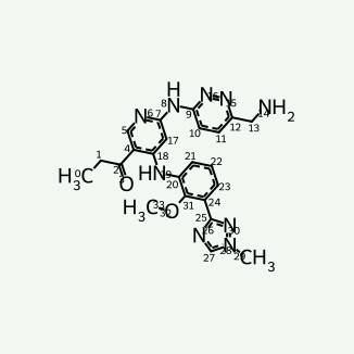 CCC(=O)c1cnc(Nc2ccc(CN)nn2)cc1Nc1cccc(-c2ncn(C)n2)c1OC